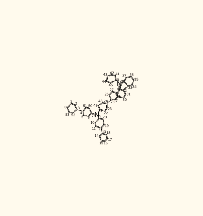 c1ccc(-c2ccc(N(c3ccc(-c4ccccc4)cc3)c3ccc(-c4ccc5c(ccc6c7ccccc7n(-c7ccccc7)c56)c4)cc3)cc2)cc1